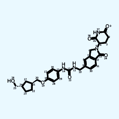 O=C1CCC(N2Cc3cc(CNC(=O)Nc4ccc(OC[C@H]5CC[C@H](CO)C5)cc4)ccc3C2=O)C(=O)N1